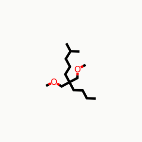 CCCCC(CCCC(C)C)(COC)COC